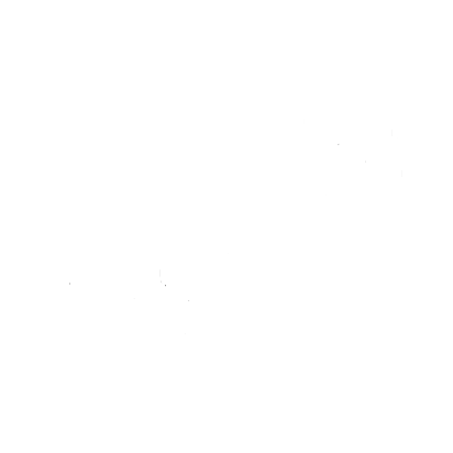 CC1(NC(=O)c2cc3ccc(B4OC(C)(C)C(C)(C)O4)cc3o2)CCC(F)(F)CC1